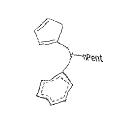 CCCC[CH2][V]([C]1=CC=CC1)[c]1ccccc1